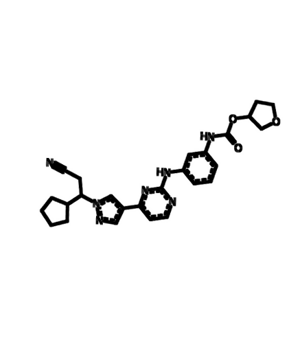 N#CCC(C1CCCC1)n1cc(-c2ccnc(Nc3cccc(NC(=O)OC4CCOC4)c3)n2)cn1